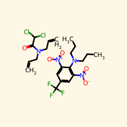 C=CCN(CC=C)C(=O)C(Cl)Cl.CCCN(CCC)c1c([N+](=O)[O-])cc(C(F)(F)F)cc1[N+](=O)[O-]